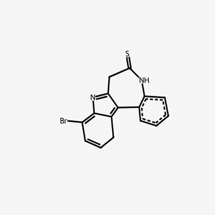 S=C1CC2=NC3=C(Br)C=CCC3=C2c2ccccc2N1